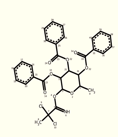 CC1OC(OC(=N)C(C)(Cl)Cl)C(OC(=O)c2ccccc2)C(OC(=O)c2ccccc2)C1OC(=O)c1ccccc1